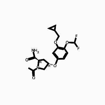 CC(=O)N1C[C@@H](Oc2ccc(OC(F)F)c(OCC3CC3)c2)C[C@@H]1C(N)=O